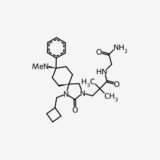 CN[C@]1(c2ccccc2)CC[C@@]2(CC1)CN(CC(C)(C)C(=O)NCC(N)=O)C(=O)N2CC1CCC1